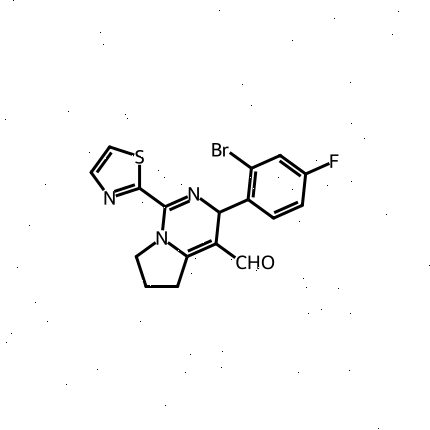 O=CC1=C2CCCN2C(c2nccs2)=NC1c1ccc(F)cc1Br